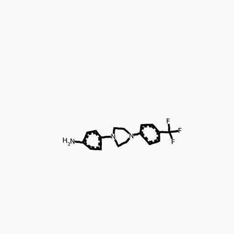 Nc1ccc(N2CCN(c3ccc(C(F)(F)F)cc3)CC2)cc1